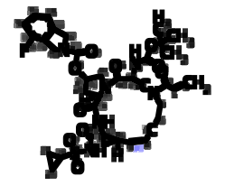 C=CC(=O)N1CCC/C=C\[C@@H]2C[C@@]2(C(=O)NS(=O)(=O)C2CC2)NC(=O)[C@@H]2C[C@@H](OC(=O)N3Cc4cccc(F)c4C3)CN2C(=O)[C@@H](NC(=O)OC(C)(C)C)C1